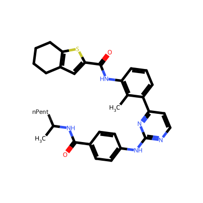 CCCCCC(C)NC(=O)c1ccc(Nc2nccc(-c3cccc(NC(=O)c4cc5c(s4)CCCC5)c3C)n2)cc1